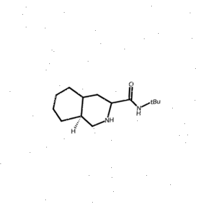 CC(C)(C)NC(=O)C1CC2CCCC[C@@H]2CN1